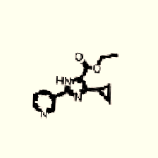 CCOC(=O)c1[nH]c(-c2cccnc2)nc1C1CC1